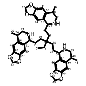 CCC(CCC1NCC(C)c2cc3c(cc21)OCO3)(CCC1NCC(C)c2cc3c(cc21)OCO3)CCC1NCC(C)c2cc3c(cc21)OCO3